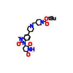 Cn1c(=O)n(C2CCC(=O)NC2=O)c2ccc(C3CCN(CC4CCN(C(=O)OC(C)(C)C)CC4)CC3)cc21